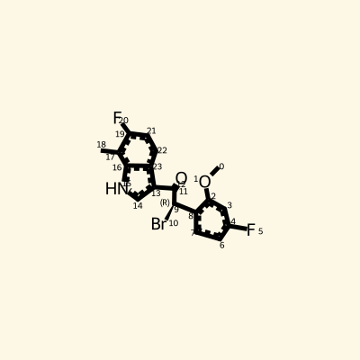 COc1cc(F)ccc1[C@@H](Br)C(=O)c1c[nH]c2c(C)c(F)ccc12